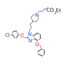 CCOC(=O)CCCN1CCC(CCCn2c(COc3ccc(Cl)cc3)nc3c(OCc4ccccc4)cccc32)CC1